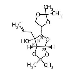 C=CC[C@@]1(O)[C@H](C2COC(C)(C)O2)O[C@@H]2OC(C)(C)O[C@@H]21